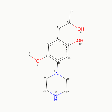 COc1cc(CC(C)O)c(O)cc1N1CCNCC1